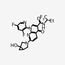 CC[C@@H](NC(=O)c1cn(-c2ncc(F)cc2F)c2nc(N3CC4CC4(O)C3)ccc2c1=O)C(F)(F)F